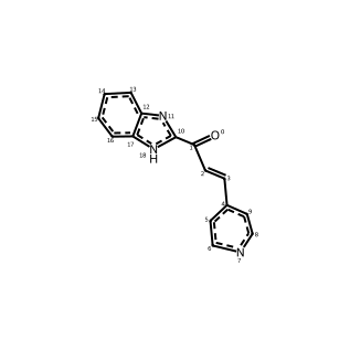 O=C(C=Cc1ccncc1)c1nc2ccccc2[nH]1